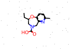 CCC1CN(C(=O)O)Cc2nc(C)ccc2O1